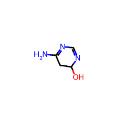 NC1=NC=NC(O)C1